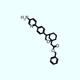 Nc1ccc(-c2ccc(C3COC4(CC(=O)OCc5ccccc5)CCCC3C4)cc2)nc1